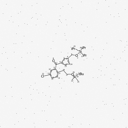 CC(C)[Si](OCc1cc(C(=O)c2cc(Cl)ccc2CCO[Si](C)(C)C(C)(C)C)cs1)(C(C)C)C(C)C